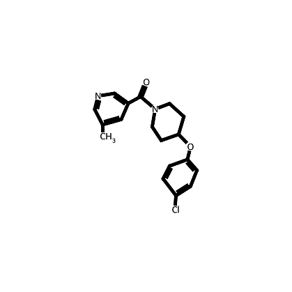 Cc1cncc(C(=O)N2CCC(Oc3ccc(Cl)cc3)CC2)c1